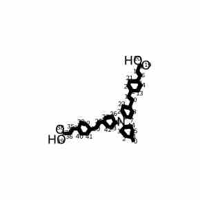 Cc1ccc(N(c2ccc(/C=C/c3ccc(/C=C/C(=O)O)cc3)cc2)c2ccc(/C=C/c3ccc(/C=C/C(=O)O)cc3)cc2)cc1